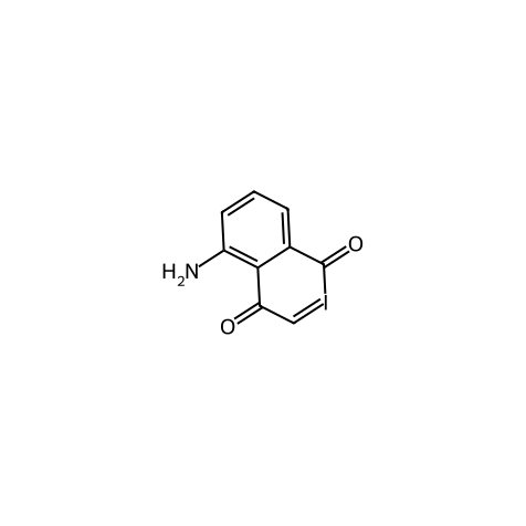 Nc1cccc2c1C(=O)C=IC2=O